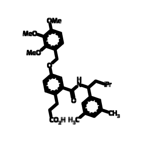 COc1ccc(COc2ccc(CCC(=O)O)c(C(=O)NC(CC(C)C)c3cc(C)cc(C)c3)c2)c(OC)c1OC